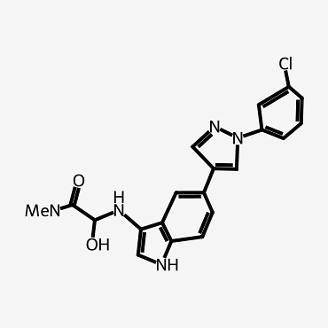 CNC(=O)C(O)Nc1c[nH]c2ccc(-c3cnn(-c4cccc(Cl)c4)c3)cc12